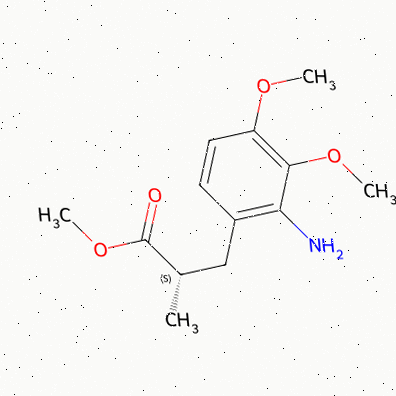 COC(=O)[C@@H](C)Cc1ccc(OC)c(OC)c1N